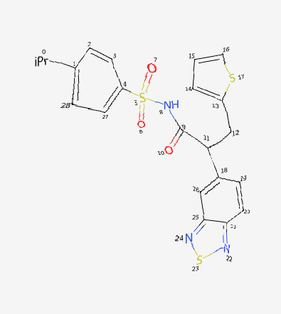 CC(C)c1ccc(S(=O)(=O)NC(=O)C(Cc2cccs2)c2ccc3nsnc3c2)cc1